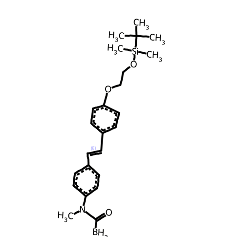 BC(=O)N(C)c1ccc(/C=C/c2ccc(OCCO[Si](C)(C)C(C)(C)C)cc2)cc1